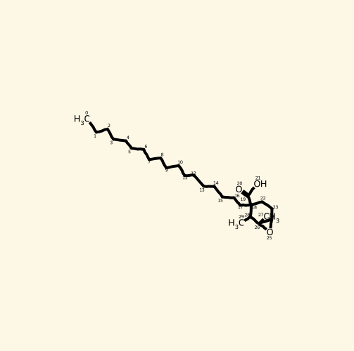 CCCCCCCCCCCCCCCCCCC1(C(=O)O)CCC2OC2(C)C1C